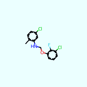 Cc1ccc(Cl)cc1NCOc1cccc(Cl)c1F